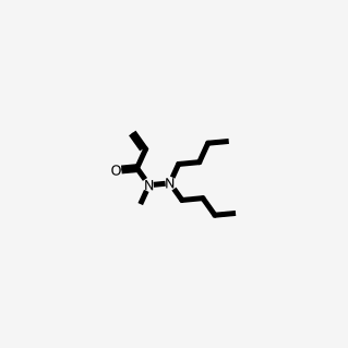 C=CC(=O)N(C)N(CCCC)CCCC